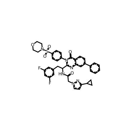 O=C(Cn1ccc(C2CC2)n1)NC(Cc1cc(F)cc(F)c1)c1nc2cc(-c3ccccc3)ccc2c(=O)n1-c1ccc(S(=O)(=O)N2CCOCC2)cc1